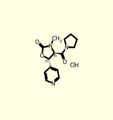 CN1C(=O)O[C@@H](c2ccncc2)[C@@H]1C(=O)N1CCCC1.Cl